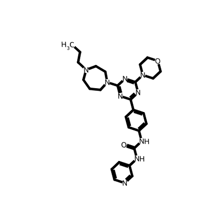 CCCN1CCCN(c2nc(-c3ccc(NC(=O)Nc4cccnc4)cc3)nc(N3CCOCC3)n2)CC1